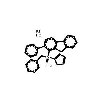 Cl.Cl.[CH2]=[Zr]([CH2]c1ccccc1)([C]1=CC=CC1)[c]1c(-c2ccccc2)ccc2c1Cc1ccccc1-2